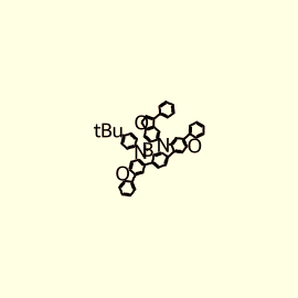 CC(C)(C)c1ccc(N2B3c4cc5occ(-c6ccccc6)c5cc4-n4c5cc6c(cc5c5ccc(c3c54)-c3cc4c(cc32)oc2ccccc24)oc2ccccc26)cc1